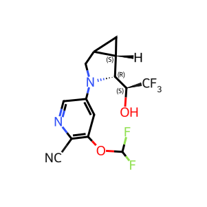 N#Cc1ncc(N2CC3C[C@@H]3[C@@H]2[C@H](O)C(F)(F)F)cc1OC(F)F